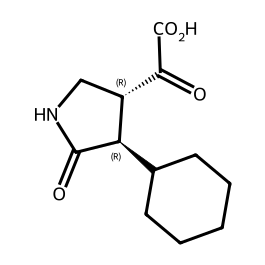 O=C(O)C(=O)[C@H]1CNC(=O)[C@@H]1C1CCCCC1